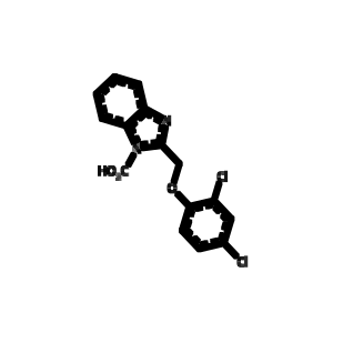 O=C(O)n1c(COc2ccc(Cl)cc2Cl)nc2ccccc21